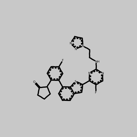 O=C1CCCC1c1ccc(F)cc1-c1cccc2cc(-c3nc(NCCn4ccnn4)ncc3F)sc12